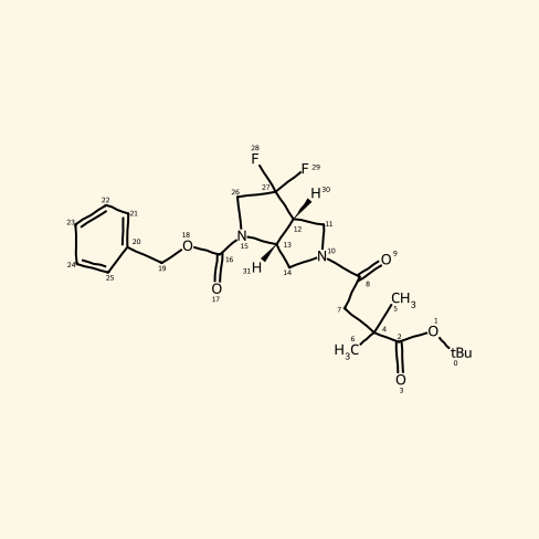 CC(C)(C)OC(=O)C(C)(C)CC(=O)N1C[C@@H]2[C@H](C1)N(C(=O)OCc1ccccc1)CC2(F)F